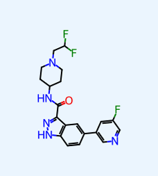 O=C(NC1CCN(CC(F)F)CC1)c1n[nH]c2ccc(-c3cncc(F)c3)cc12